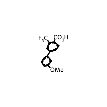 COc1cccc(-c2ccc(C(=O)O)c(C(F)(F)F)c2)c1